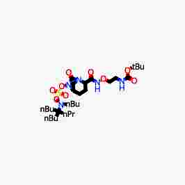 CCCCN(OS(=O)(=O)ON1C(=O)N2CC1CCC2C(=O)NOCCNC(=O)OC(C)(C)C)C(CCC)(CCCC)CCCC